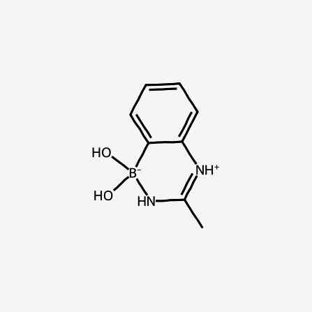 CC1=[NH+]c2ccccc2[B-](O)(O)N1